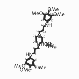 COc1cc(NCCCN2CCN(CCCNc3cc(OC)c(OC)c(OC)c3)CC2)cc(OC)c1OC.Cl.Cl.Cl.Cl